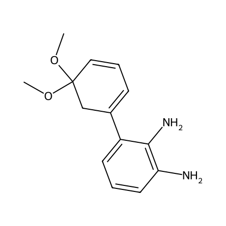 COC1(OC)C=CC=C(c2cccc(N)c2N)C1